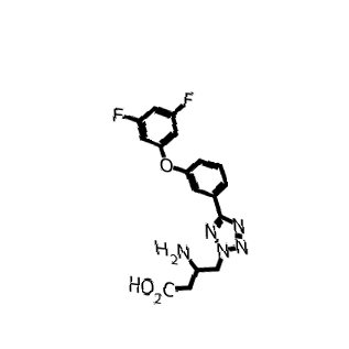 NC(CC(=O)O)Cn1nnc(-c2cccc(Oc3cc(F)cc(F)c3)c2)n1